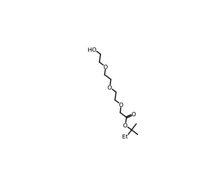 CCC(C)(C)OC(=O)COCCOCCOCCO